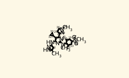 Cc1cc(Nc2nc(N(C)c3c(F)cc(S(C)(=O)=O)cc3F)nc(-c3ccn(C)n3)c2C2CC2)n[nH]1